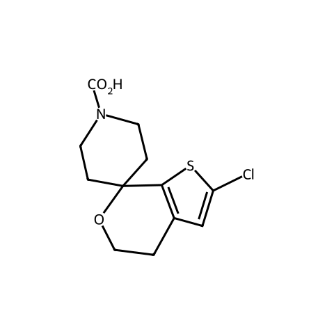 O=C(O)N1CCC2(CC1)OCCc1cc(Cl)sc12